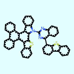 c1ccc2c(-c3cccc4c3sc3ccccc34)nc(-n3c4ccccc4c4c5c6ccccc6c6ccccc6c5c5c6ccccc6sc5c43)nc2c1